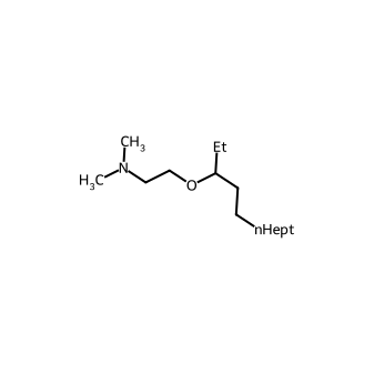 CCCCCCCCCC(CC)OCCN(C)C